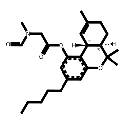 CCCCCc1cc(OC(=O)CN(C)C=O)c2c(c1)OC(C)(C)[C@@H]1CCC(C)=C[C@@H]21